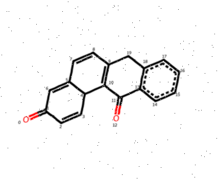 O=C1C=CC2C(=C1)C=CC1=C2C(=O)c2ccccc2C1